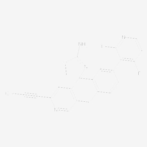 CC(C)(C)C#Cc1cc2c(cn1)Oc1ccc(-c3c(F)ccnc3F)cc1[C@@]21COC(N)=N1